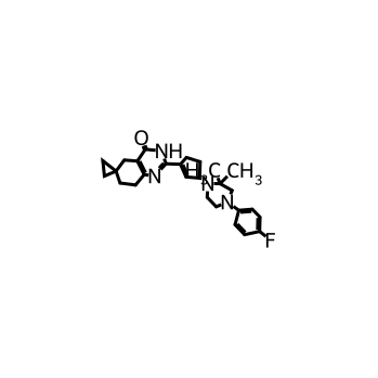 CC1(C)CN(c2ccc(F)cc2)CCN1[C@@H]1C=C(c2nc3c(c(=O)[nH]2)CC2(CC3)CC2)CC1